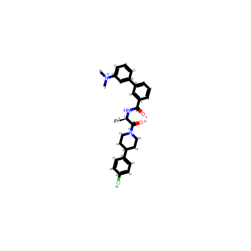 CC(C)[C@@H](NC(=O)c1cccc(-c2cccc(N(C)C)c2)c1)C(=O)N1CCC(c2ccc(Cl)cc2)CC1